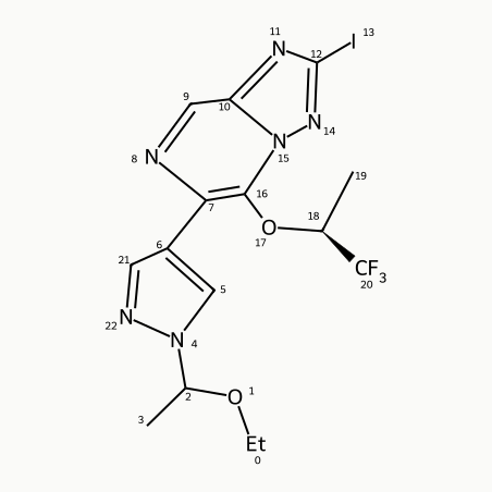 CCOC(C)n1cc(-c2ncc3nc(I)nn3c2O[C@@H](C)C(F)(F)F)cn1